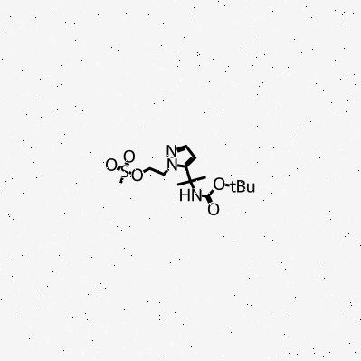 CC(C)(C)OC(=O)NC(C)(C)c1ccnn1CCOS(C)(=O)=O